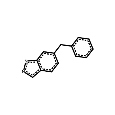 c1ccc(Cc2ccc3cn[nH]c3c2)cc1